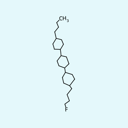 CCCCC1CCC(C2CCC(C3CCC(CCCCF)CC3)CC2)CC1